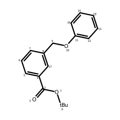 CC(C)(C)OC(=O)c1cccc(COc2cc[c]cc2)c1